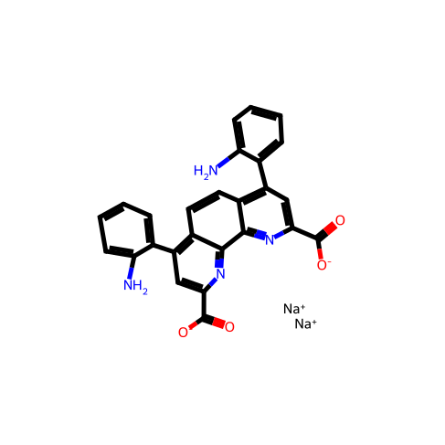 Nc1ccccc1-c1cc(C(=O)[O-])nc2c1ccc1c(-c3ccccc3N)cc(C(=O)[O-])nc12.[Na+].[Na+]